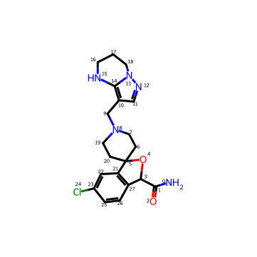 NC(=O)C1OC2(CCN(Cc3cnn4c3NCCC4)CC2)c2cc(Cl)ccc21